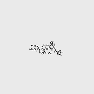 COCC(COC)Nc1ccc(Oc2ncc(CCn3nccn3)cc2C(F)(F)F)cc1C(=O)OC